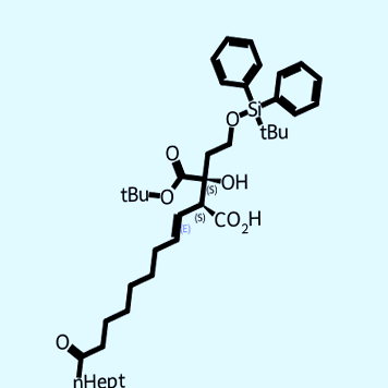 CCCCCCCC(=O)CCCCCC/C=C/[C@H](C(=O)O)[C@@](O)(CCO[Si](c1ccccc1)(c1ccccc1)C(C)(C)C)C(=O)OC(C)(C)C